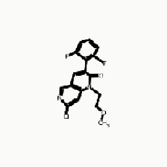 COCCn1c(=O)c(-c2c(F)cccc2F)cc2cnc(Cl)cc21